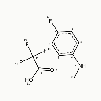 CNc1ccc(F)cc1.O=C(O)C(F)(F)F